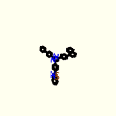 c1ccc(-c2ccc(-c3nc(-c4ccc(-c5nc6ccccc6s5)cc4)cc(-c4ccc(-c5cccc6ccccc56)cc4)n3)cc2)cc1